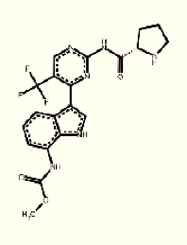 COC(=O)Nc1cccc2c(-c3nc(NC(=O)[C@@H]4CCCN4)ncc3C(F)(F)F)c[nH]c12